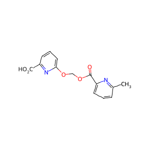 Cc1cccc(C(=O)OCOc2cccc(C(=O)O)n2)n1